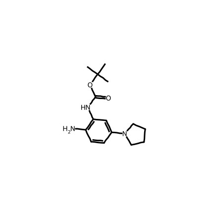 CC(C)(C)OC(=O)Nc1cc(N2CCCC2)ccc1N